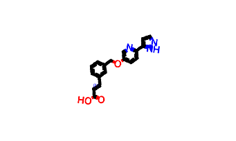 O=C(O)/C=C/c1cccc(COc2ccc(-c3ccn[nH]3)nc2)c1